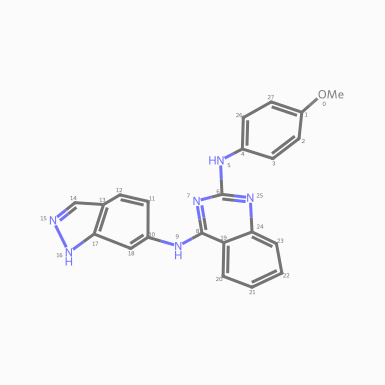 COc1ccc(Nc2nc(Nc3ccc4cn[nH]c4c3)c3ccccc3n2)cc1